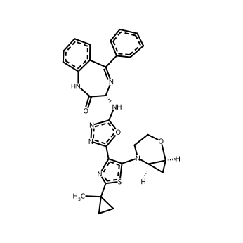 CC1(c2nc(-c3nnc(N[C@H]4N=C(c5ccccc5)c5ccccc5NC4=O)o3)c(N3CCO[C@H]4C[C@H]43)s2)CC1